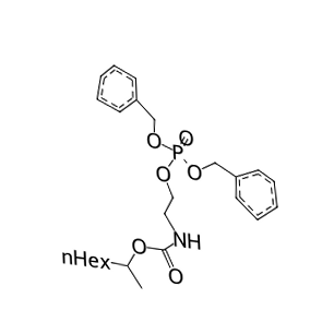 CCCCCCC(C)OC(=O)NCCOP(=O)(OCc1ccccc1)OCc1ccccc1